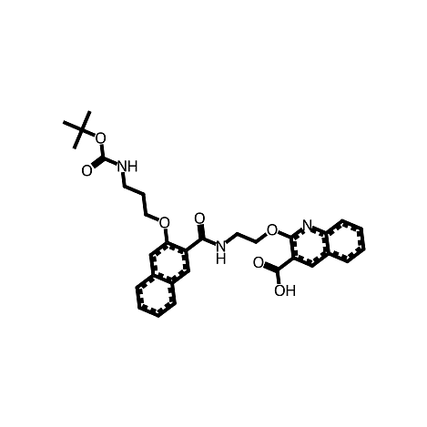 CC(C)(C)OC(=O)NCCCOc1cc2ccccc2cc1C(=O)NCCOc1nc2ccccc2cc1C(=O)O